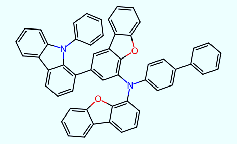 c1ccc(-c2ccc(N(c3cccc4c3oc3ccccc34)c3cc(-c4cccc5c6ccccc6n(-c6ccccc6)c45)cc4c3oc3ccccc34)cc2)cc1